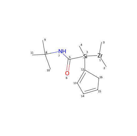 [CH3][Zr]([CH3])[Si](C)(C(=O)NC(C)(C)C)C1=CC=CC1